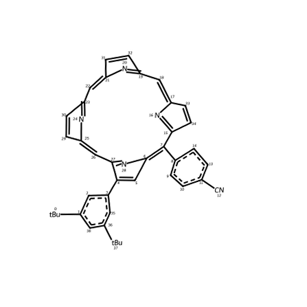 CC(C)(C)c1cc(C2=CC3=C(c4ccc(C#N)cc4)C4=NC(=CC5=NC(=CC6=NC(=CC2=N3)C=C6)C=C5)C=C4)cc(C(C)(C)C)c1